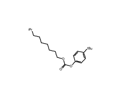 CC(C)CCCCCCCOC(=O)Oc1ccc(C(C)(C)C)cc1